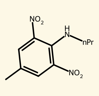 CCCNc1c([N+](=O)[O-])cc(C)cc1[N+](=O)[O-]